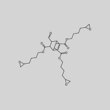 O=CC1C2C=CC(C1C(=O)OCCCCC1CO1)C(C(=O)OCCCCC1CO1)C2C(=O)OCCCCC1CO1